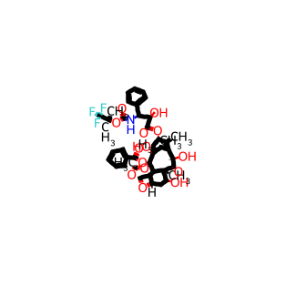 CC(=O)O[C@@]12CO[C@@H]1C[C@H](O)[C@@]1(C)C(=O)[C@H](O)C3=C(C)[C@@H](OC(=O)[C@H](O)[C@@H](NC(=O)OC(C)(C)C(F)(F)F)c4ccccc4)C[C@@](O)([C@@H](OC(=O)c4ccccc4)C12)C3(C)C